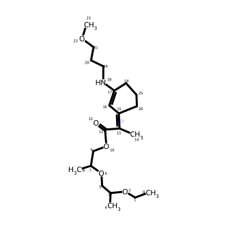 CCOC(C)COC(C)COC(=O)/C(C)=C1\C=C(NCCCOC)CCC1